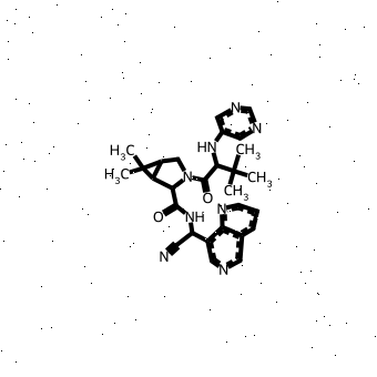 CC(C)(C)C(Nc1cncnc1)C(=O)N1CC2C(C1C(=O)NC(C#N)c1cncc3cccnc13)C2(C)C